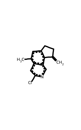 C=C1CCc2cc(C)c3cc(Cl)ncc3c21